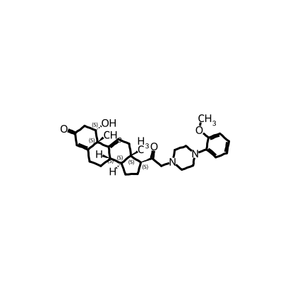 COc1ccccc1N1CCN(CC(=O)[C@H]2CC[C@H]3[C@@H]4CCC5=CC(=O)C[C@H](O)[C@]5(C)C4=CC[C@]23C)CC1